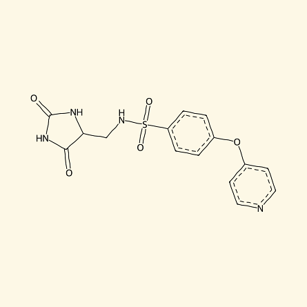 O=C1NC(=O)C(CNS(=O)(=O)c2ccc(Oc3ccncc3)cc2)N1